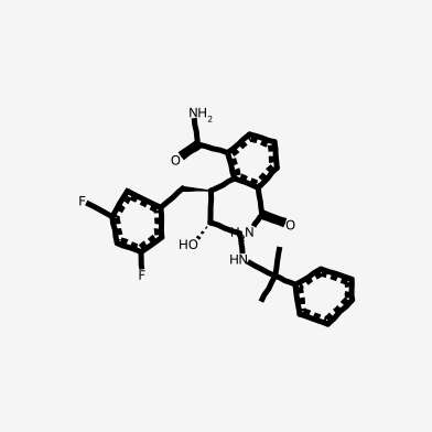 CC(C)(NC[C@H](O)[C@@H](Cc1cc(F)cc(F)c1)c1c(C(N)=O)cccc1C(N)=O)c1ccccc1